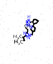 CCCc1nc(C(C)CC)nn1Cc1ccc(-c2ccccc2-c2nnn[nH]2)nc1